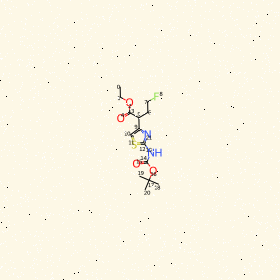 CCOC(=O)C(CCF)c1csc(NC(=O)OC(C)(C)C)n1